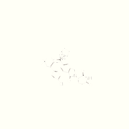 CC1(C)CCC(CN2CC3CCC(C2)N3C(=O)c2ccc3c(c2)CN(C2CCC(=O)NC2=O)C3=O)=C(c2ccc(Cl)cc2)C1